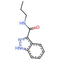 CCCNC(=O)c1n[nH]c2ccccc12